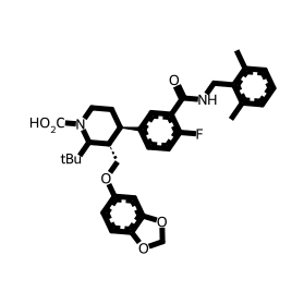 Cc1cccc(C)c1CNC(=O)c1cc([C@@H]2CCN(C(=O)O)C(C(C)(C)C)[C@H]2COc2ccc3c(c2)OCO3)ccc1F